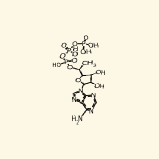 C[C@H](OP(=O)(O)OP(=O)(O)OP(=O)(O)O)C1OC(n2cnc3c(N)ncnc32)C(O)C1O